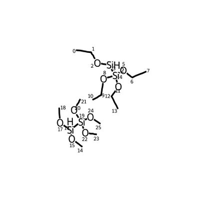 CCO[SiH2][Si](OCC)(OCC)OCC.CO[SiH](OC)[Si](OC)(OC)OC